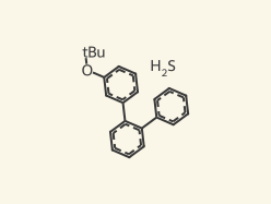 CC(C)(C)Oc1cccc(-c2ccccc2-c2ccccc2)c1.S